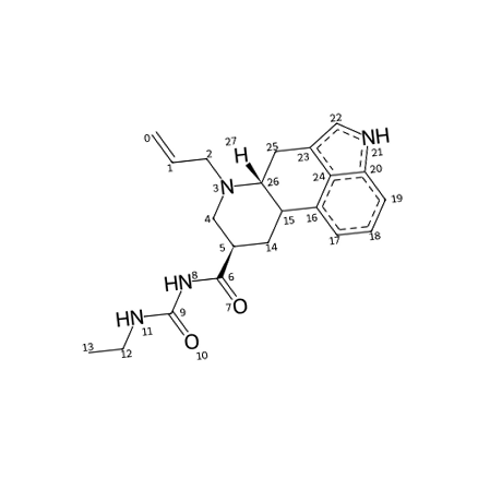 C=CCN1C[C@H](C(=O)NC(=O)NCC)CC2c3cccc4[nH]cc(c34)C[C@H]21